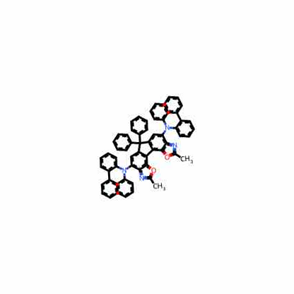 Cc1nc2c(N(c3ccccc3)c3ccccc3-c3ccccc3)cc3c(c2o1)-c1c(cc(N(c2ccccc2)c2ccccc2-c2ccccc2)c2nc(C)oc12)C3(c1ccccc1)c1ccccc1